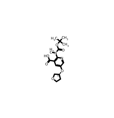 CN(C(=O)OC(C)(C)C)c1ncc(O[C@H]2CCOC2)cc1C(=O)O